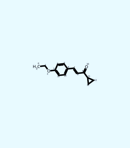 CCOc1ccc(/C=C/C(=O)C2CC2)cc1